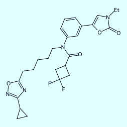 CCn1cc(-c2cccc(N(CCCCCc3nc(C4CC4)no3)C(=O)C3CC(F)(F)C3)c2)oc1=O